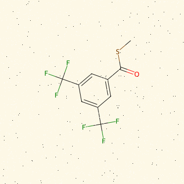 CSC(=O)c1cc(C(F)(F)F)cc(C(F)(F)F)c1